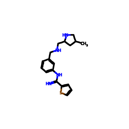 CC1CNC(CNCc2cccc(NC(=N)c3cccs3)c2)C1